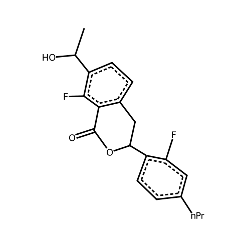 CCCc1ccc(C2Cc3ccc(C(C)O)c(F)c3C(=O)O2)c(F)c1